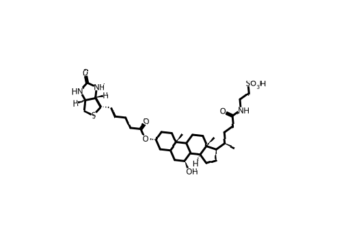 C[C@H](CCC(=O)NCCS(=O)(=O)O)[C@H]1CC[C@H]2C3C(CC[C@]12C)[C@@]1(C)CC[C@@H](OC(=O)CCCC[C@@H]2SC[C@@H]4NC(=O)N[C@@H]42)CC1C[C@@H]3O